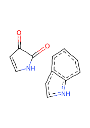 O=C1C=CNC1=O.c1ccc2[nH]ccc2c1